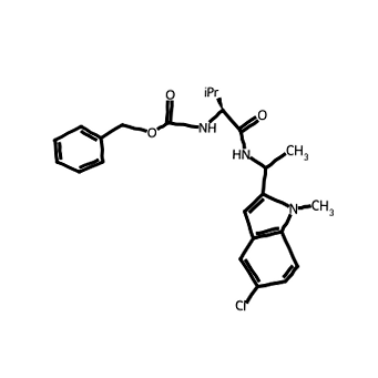 CC(NC(=O)[C@@H](NC(=O)OCc1ccccc1)C(C)C)c1cc2cc(Cl)ccc2n1C